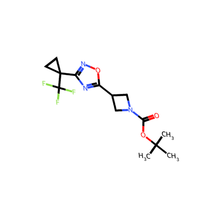 CC(C)(C)OC(=O)N1CC(c2nc(C3(C(F)(F)F)CC3)no2)C1